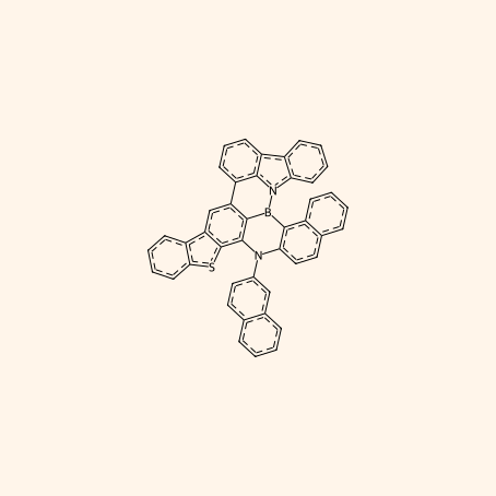 c1ccc2cc(N3c4ccc5ccccc5c4B4c5c(cc6c(sc7ccccc76)c53)-c3cccc5c6ccccc6n4c35)ccc2c1